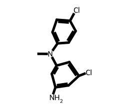 CN(c1ccc(Cl)cc1)c1cc(N)cc(Cl)c1